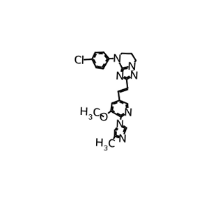 COc1cc(C=Cc2nc3n(n2)CCCN3c2ccc(Cl)cc2)cnc1-n1cnc(C)c1